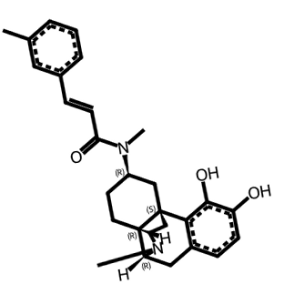 Cc1cccc(C=CC(=O)N(C)[C@@H]2CC[C@H]3[C@H]4Cc5ccc(O)c(O)c5[C@@]3(CCN4C)C2)c1